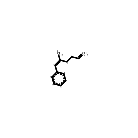 C=CCCC(C)=Cc1ccccc1